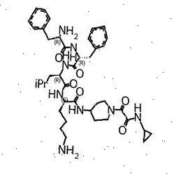 CC(C)C[C@@H](NC(=O)[C@@H](Cc1ccccc1)NC(=O)[C@H](N)Cc1ccccc1)C(=O)N[C@H](CCCCN)C(=O)NC1CCN(C(=O)C(=O)NC2CC2)CC1